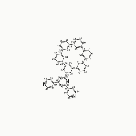 c1ccc(-c2cccc(-c3cccc(-c4cccc(-c5cccc(-c6cccc(-c7nc(-c8ccncc8)nc(-c8ccncc8)n7)c6)c5)c4)c3)c2)cc1